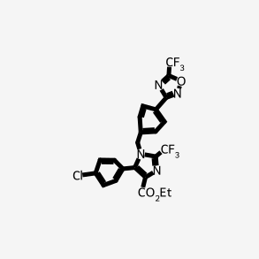 CCOC(=O)c1nc(C(F)(F)F)n(Cc2ccc(-c3noc(C(F)(F)F)n3)cc2)c1-c1ccc(Cl)cc1